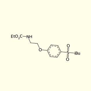 CCOC(=O)NCCOc1ccc(S(=O)(=O)C(C)CC)cc1